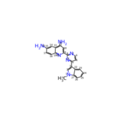 Cn1cc(-c2ccnc(-c3cc(N)c4cc(N)ccc4n3)n2)c2ccccc21